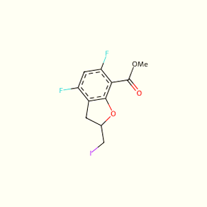 COC(=O)c1c(F)cc(F)c2c1OC(CI)C2